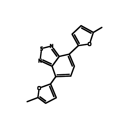 Cc1ccc(-c2ccc(-c3ccc(C)o3)c3nsnc23)o1